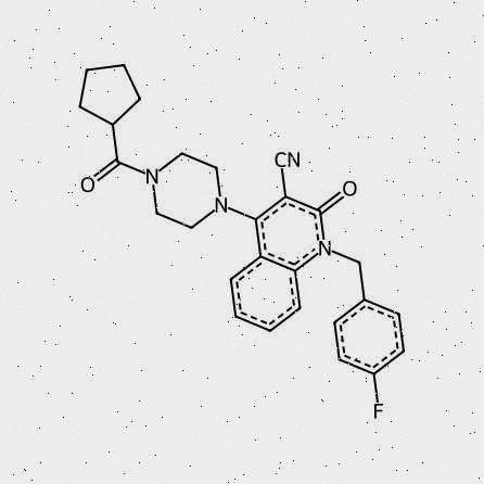 N#Cc1c(N2CCN(C(=O)C3CCCC3)CC2)c2ccccc2n(Cc2ccc(F)cc2)c1=O